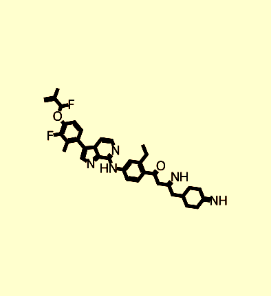 C=C(C)C(F)Oc1ccc(C2=CN=C3C(Nc4ccc(C(=O)CC(=N)CC5CCC(=N)CC5)c(CC)c4)=NC=CC23)c(C)c1F